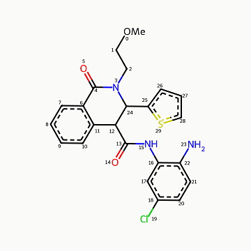 COCCN1C(=O)c2ccccc2C(C(=O)Nc2cc(Cl)ccc2N)C1c1cccs1